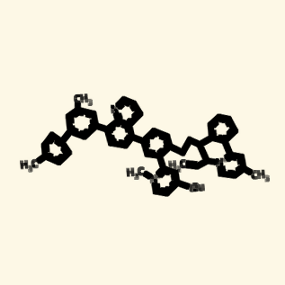 C=CC1C(CCc2ccc(-c3ccc(-c4cc(C)cc(-c5ccc(C)cc5)c4)c4ncccc34)cc2-c2cc(C(C)(C)C)cc[n+]2C)c2ccccc2-c2cc(C)cc[n+]21